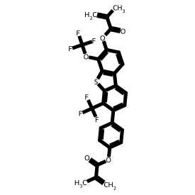 C=C(C)C(=O)Oc1ccc(-c2ccc3c(sc4c(OC(F)(F)F)c(OC(=O)C(=C)C)ccc43)c2C(F)(F)F)cc1